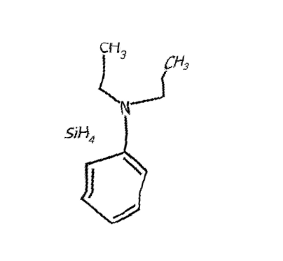 CCN(CC)c1ccccc1.[SiH4]